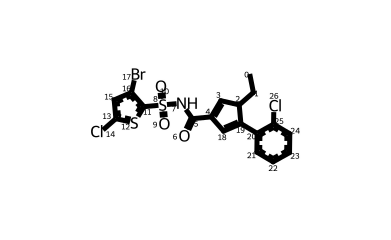 CCC1C=C(C(=O)NS(=O)(=O)c2sc(Cl)cc2Br)C=C1c1ccccc1Cl